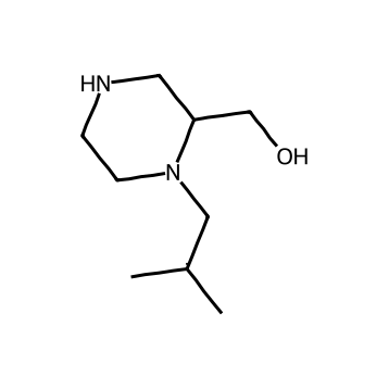 C[C](C)CN1CCNCC1CO